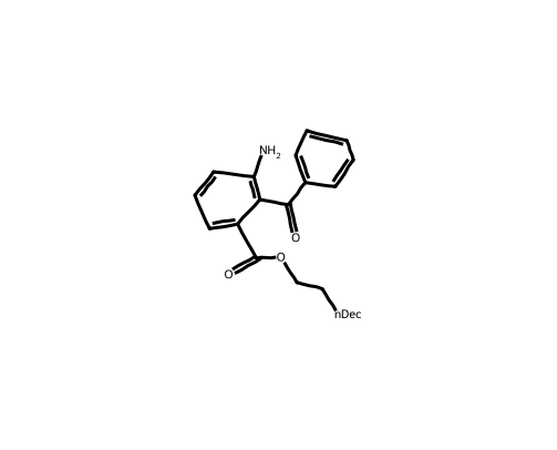 CCCCCCCCCCCCOC(=O)c1cccc(N)c1C(=O)c1ccccc1